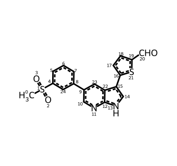 CS(=O)(=O)c1cccc(-c2cnc3[nH]cc(-c4ccc(C=O)s4)c3c2)c1